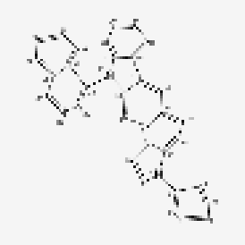 c1ccc(-n2ccc3c4cc5c(cc4ccc32)c2ccccc2n5-c2nncc3ccccc23)cc1